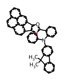 CC1(C)c2ccccc2-c2ccc(N(c3ccccc3)c3ccccc3-c3nc4c(o3)-c3cc5cccc6ccc7ccc-4c3c7c65)cc21